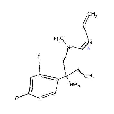 C=C/N=C\N(C)CC(N)(CC)c1ccc(F)cc1F